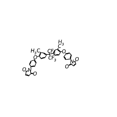 Cc1cc(C(c2ccc(Oc3ccc(N4C(=O)C=CC4=O)cc3)c(C)c2)(C(F)(F)F)C(F)(F)F)ccc1Oc1ccc(N2C(=O)C=CC2=O)cc1